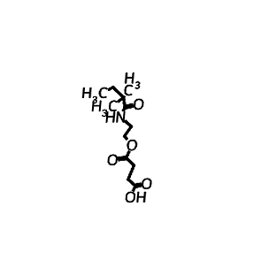 CCC(C)(C)C(=O)NCCOC(=O)CCC(=O)O